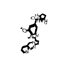 C=Nc1ccc(-c2nc3cc(C(=O)N4C[C@H]5CC[C@@H]4[C@@H]5N)cc(OC)c3n2C)n1Cc1cccnc1